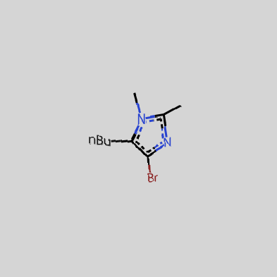 CCCCc1c(Br)nc(C)n1C